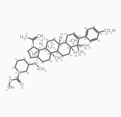 C=C(C)[C@@H]1CC[C@]2(N(C)C3CCCN(C(=O)OC(C)(C)C)C3)CC[C@]3(C)[C@H](CC[C@@H]4[C@@]5(C)CC=C(c6ccc(C(=O)O)cc6)C(C)(C)[C@@H]5CC[C@]43C)[C@@H]12